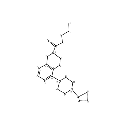 CCCCC(=O)N1CCc2c(ncnc2N2CCN(C3CCC3)CC2)C1